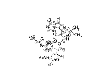 CCC(CC)[C@H](NC(C)=O)[C@@H]1[C@H](O)[C@@H](C(=O)OC[C@@H]2[C@H]3OC(C)(C)O[C@H]3[C@H](c3c[nH]c4c(Cl)ncnc34)N2C(=O)OC(C)(C)C)C[C@H]1N/C(C)=N/C(=O)OC(C)(C)C